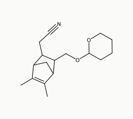 CC1=C(C)C2CC1C(CC#N)C2COC1CCCCO1